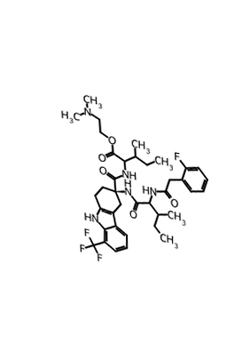 CCC(C)C(NC(=O)Cc1ccccc1F)C(=O)N[C@]1(C(=O)NC(C(=O)OCCN(C)C)C(C)CC)CCc2[nH]c3c(C(F)(F)F)cccc3c2C1